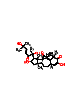 CCC(=O)CC1(C)C([C@@](C)(O)C(=O)/C=C/C(C)(C)O)[C@@H](O)C[C@@]1(C)[C@@H]1CC=C2[C@H](C=C(O)C(=O)C2(C)C)CC1